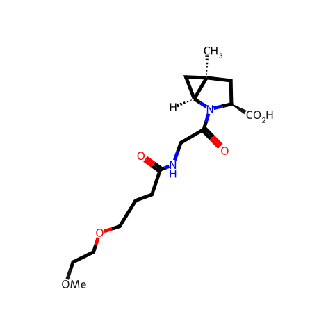 COCCOCCCC(=O)NCC(=O)N1[C@H]2C[C@@]2(C)C[C@H]1C(=O)O